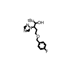 CC(C)(C)C(O)C(CCOCc1ccc(F)cc1)n1cncn1